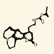 C=C(C)OC(=O)NCCc1cc(=O)oc2c3c4c(cc12)CCCN4CCC3